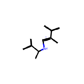 C/C(=C\NC(C)C(C)C)C(C)C